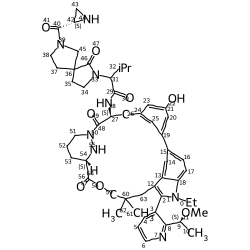 CCn1c(-c2cccnc2[C@H](C)OC)c2c3cc(ccc31)-c1cc(O)cc(c1)C[C@H](NC(=O)C(C(C)C)N1CCC3(CCN(C(=O)[C@@H]4CN4)C3)C1=O)C(=O)N1CCC[C@H](N1)C(=O)OCC(C)(C)C2